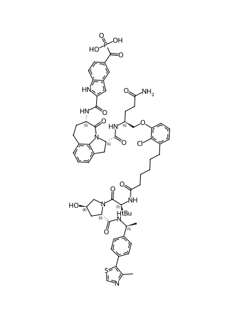 Cc1ncsc1-c1ccc([C@H](C)NC(=O)[C@@H]2C[C@@H](O)CN2C(=O)[C@@H](NC(=O)CCCCCc2cccc(OC[C@H](CCC(N)=O)NC(=O)[C@@H]3Cc4cccc5c4N3C(=O)[C@@H](NC(=O)c3cc4cc(C(=O)P(=O)(O)O)ccc4[nH]3)CC5)c2Cl)C(C)(C)C)cc1